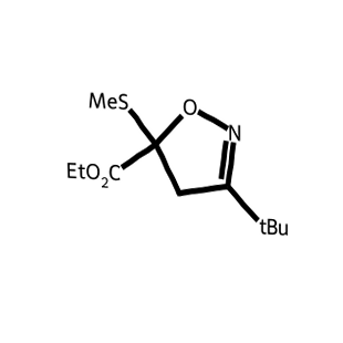 CCOC(=O)C1(SC)CC(C(C)(C)C)=NO1